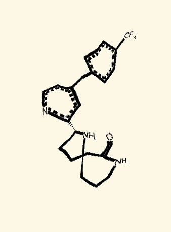 O=C1NCCC[C@]12CC[C@H](c1cc(-c3ccc(C(F)(F)F)cc3)ccn1)N2